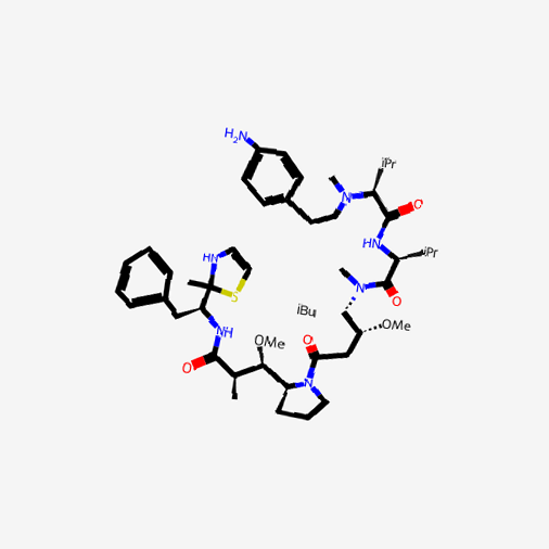 CC[C@H](C)[C@@H]([C@@H](CC(=O)N1CCC[C@H]1[C@H](OC)[C@@H](C)C(=O)N[C@@H](Cc1ccccc1)C1(C)NC=CS1)OC)N(C)C(=O)[C@@H](NC(=O)[C@H](C(C)C)N(C)CCc1ccc(N)cc1)C(C)C